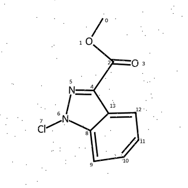 COC(=O)c1nn(Cl)c2ccccc12